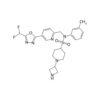 Cc1cccc(N(Cc2ccc(-c3nnc(C(F)F)o3)cn2)S(=O)(=O)C2CCN(C3CNC3)CC2)c1